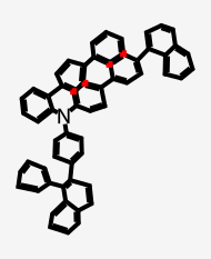 c1ccc(-c2ccc(-c3ccccc3N(c3ccc(-c4ccc(-c5cccc6ccccc56)cc4)cc3)c3ccc(-c4ccc5ccccc5c4-c4ccccc4)cc3)cc2)cc1